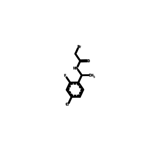 CC(NC(=O)CBr)c1ccc(Cl)cc1F